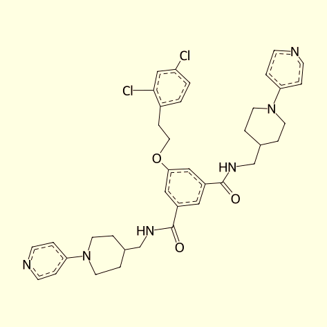 O=C(NCC1CCN(c2ccncc2)CC1)c1cc(OCCc2ccc(Cl)cc2Cl)cc(C(=O)NCC2CCN(c3ccncc3)CC2)c1